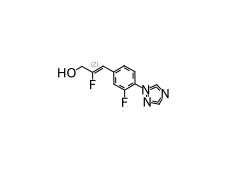 OC/C(F)=C/c1ccc(-n2cncn2)c(F)c1